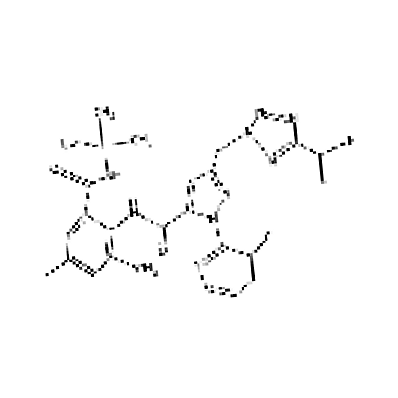 Cc1cc(I)cc(C(=O)NC(C)(C)C)c1NC(=O)c1cc(Cn2nnc(C(F)F)n2)nn1-c1ncccc1Cl